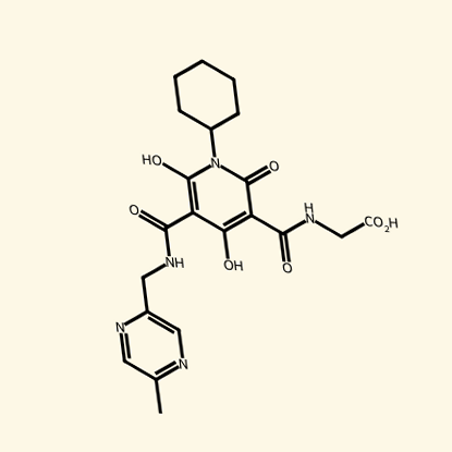 Cc1cnc(CNC(=O)c2c(O)c(C(=O)NCC(=O)O)c(=O)n(C3CCCCC3)c2O)cn1